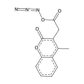 Cc1c(CC(=O)ON=[N+]=[N-])c(=O)oc2ccccc12